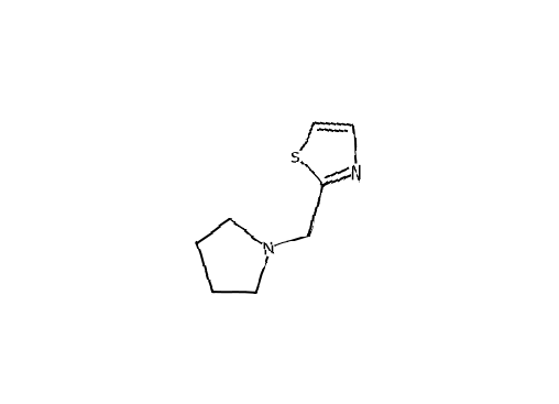 c1csc(CN2CCCC2)n1